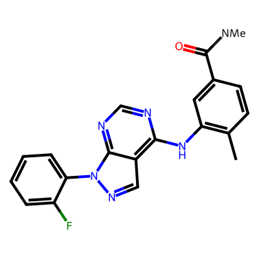 CNC(=O)c1ccc(C)c(Nc2ncnc3c2cnn3-c2ccccc2F)c1